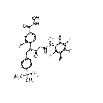 CC(C)(C)c1ccc(CN(C(=O)CN[S+]([O-])c2c(F)c(F)c(F)c(F)c2F)c2ccc(C(=O)NO)cc2F)cc1